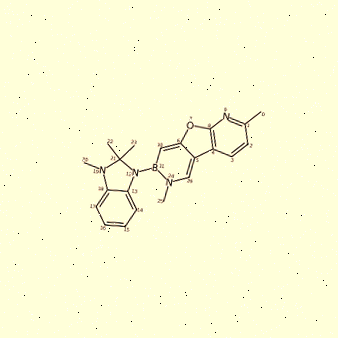 Cc1ccc2c3c(oc2n1)=CB(N1c2ccccc2N(C)C1(C)C)N(C)C=3